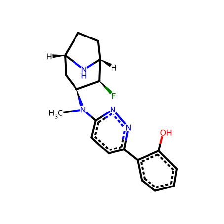 CN(c1ccc(-c2ccccc2O)nn1)[C@H]1C[C@@H]2CC[C@@H](N2)[C@H]1F